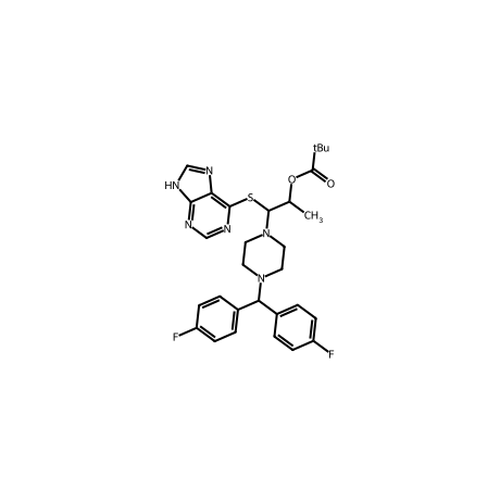 CC(OC(=O)C(C)(C)C)C(Sc1ncnc2[nH]cnc12)N1CCN(C(c2ccc(F)cc2)c2ccc(F)cc2)CC1